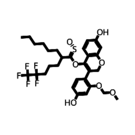 CCCCCCC(CCCC(F)(F)C(F)(F)F)C(OC1=C(c2ccc(O)cc2OCOC)COc2cc(O)ccc21)=S=O